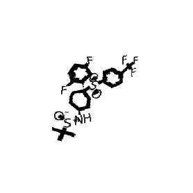 CC(C)(C)[S+]([O-])N[C@H]1CC[C@@](c2cc(F)ccc2F)(S(=O)(=O)c2ccc(C(F)(F)F)cc2)CC1